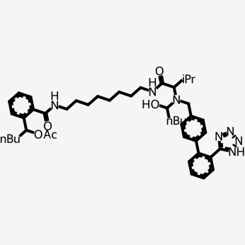 CCCCC(OC(C)=O)c1ccccc1C(=O)NCCCCCCCCNC(=O)C(C(C)C)N(Cc1ccc(-c2ccccc2-c2nnn[nH]2)cc1)C(O)CCCC